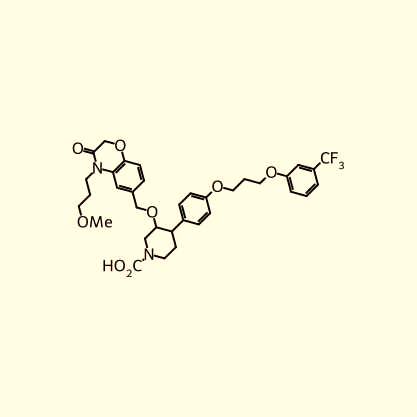 COCCCN1C(=O)COc2ccc(COC3CN(C(=O)O)CCC3c3ccc(OCCCOc4cccc(C(F)(F)F)c4)cc3)cc21